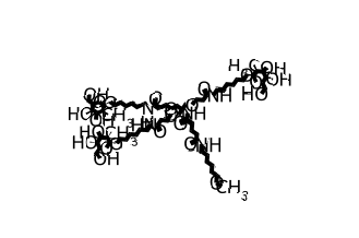 COCCCCCCNC(=O)CCCC(=O)NC(COCCC(=O)NCCCCCCO[C@@H]1OC(CO)[C@H](O)C(O)[C@@H]1C)(COCCC(=O)NCCCCCCO[C@@H]1OC(CO)[C@H](O)C(O)[C@@H]1C)COCCC(=O)NCCCCCCO[C@@H]1OC(CO)[C@H](O)C(O)[C@@H]1C